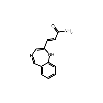 NC(=O)C=CC1=CN=Cc2ccccc2N1